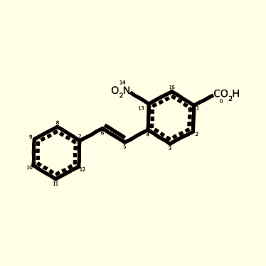 O=C(O)c1ccc(C=Cc2ccccc2)c([N+](=O)[O-])c1